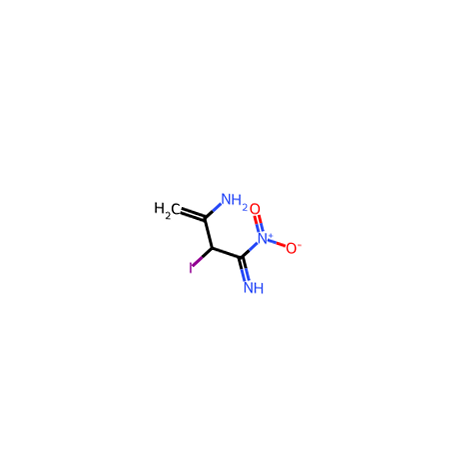 C=C(N)C(I)C(=N)[N+](=O)[O-]